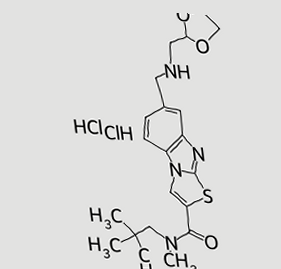 CN(CC(C)(C)C)C(=O)c1cn2c(nc3cc(CNCC4OCCO4)ccc32)s1.Cl.Cl